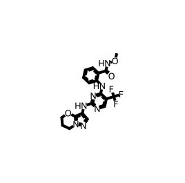 CONC(=O)c1ccccc1Nc1nc(Nc2cnn3c2OCCC3)ncc1C(F)(F)F